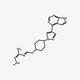 CN/N=C(N)\N=C\SC1CCC(n2cc(-c3ncnc4[nH]ccc34)cn2)CC1